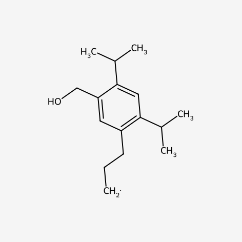 [CH2]CCc1cc(CO)c(C(C)C)cc1C(C)C